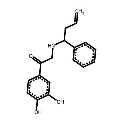 C=CCC(NCC(=O)c1ccc(O)c(O)c1)c1ccccc1